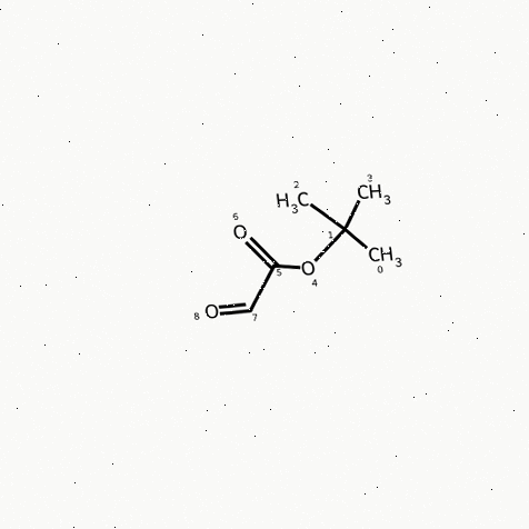 CC(C)(C)OC(=O)C=O